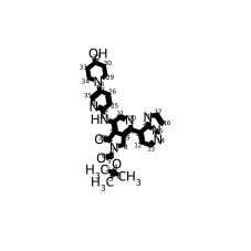 CC(C)(C)OC(=O)N1Cc2c(-c3ccnn4ccnc34)ncc(Nc3ccc(N4CCC(O)CC4)cn3)c2C1=O